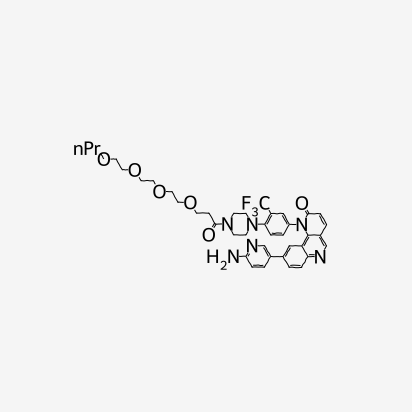 CCCOCCOCCOCCOCCC(=O)N1CCN(c2ccc(-n3c(=O)ccc4cnc5ccc(-c6ccc(N)nc6)cc5c43)cc2C(F)(F)F)CC1